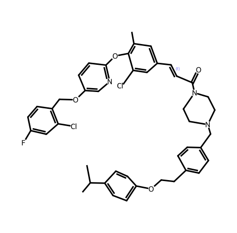 Cc1cc(/C=C/C(=O)N2CCN(Cc3ccc(CCOc4ccc(C(C)C)cc4)cc3)CC2)cc(Cl)c1Oc1ccc(OCc2ccc(F)cc2Cl)cn1